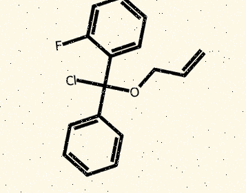 C=CCOC(Cl)(c1ccccc1)c1ccccc1F